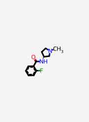 CN1CC[C@@H](NC(=O)c2ccccc2F)C1